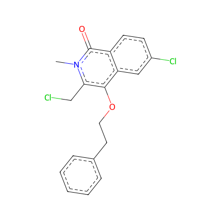 Cn1c(CCl)c(OCCc2ccccc2)c2cc(Cl)ccc2c1=O